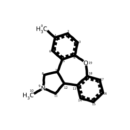 Cc1ccc2c(c1)C1CN(C)CC1c1ccccc1O2